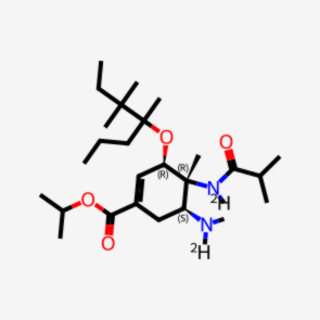 [2H]N(C)[C@H]1CC(C(=O)OC(C)C)=C[C@@H](OC(C)(CCC)C(C)(C)CC)[C@]1(C)N([2H])C(=O)C(C)C